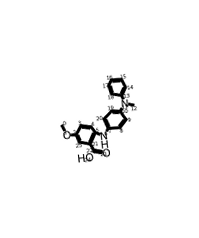 COc1ccc(Nc2ccc(N(C)c3ccccc3)cc2)c(C(=O)O)c1